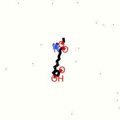 CCOC(=O)C(CCCCCCC1=CC(O)CC1=O)=NN(C)C